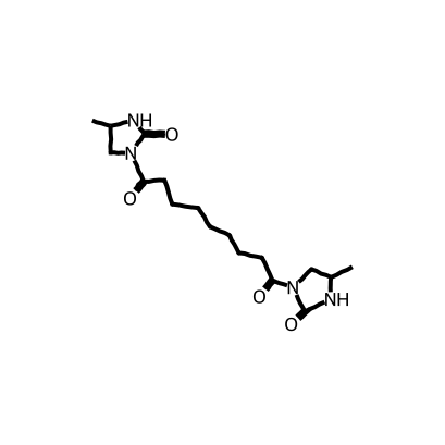 CC1CN(C(=O)CCCCCCCC(=O)N2CC(C)NC2=O)C(=O)N1